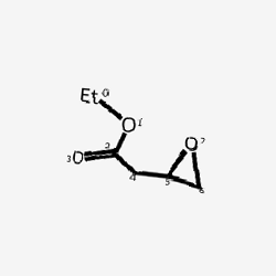 CCOC(=O)CC1CO1